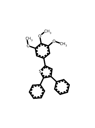 COc1cc(-c2cc(-c3ccccc3)c(-c3ccccc3)s2)cc(OC)c1OC